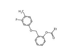 CCC(=O)Oc1ccccc1COc1ccc(C)c(F)c1